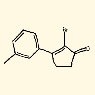 Cc1cccc(C2=C(Br)C(=O)CC2)c1